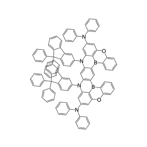 c1ccc(N(c2ccccc2)c2cc3c4c(c2)N(c2ccc5c(c2)-c2ccccc2C5(c2ccccc2)c2ccccc2)c2cc5c(cc2B4c2ccccc2O3)B2c3ccccc3Oc3cc(N(c4ccccc4)c4ccccc4)cc(c32)N5c2ccc3c(c2)-c2ccccc2C3(c2ccccc2)c2ccccc2)cc1